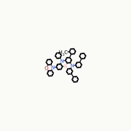 Cc1ccccc1-c1cc2c3c(c1)N(c1ccccc1)c1cc(N4c5ccccc5Oc5ccccc54)ccc1B3c1ccc(-c3ccccc3)cc1N2c1cccc(-c2ccccc2)c1